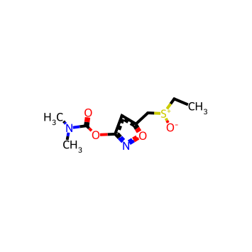 CC[S+]([O-])Cc1cc(OC(=O)N(C)C)no1